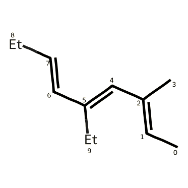 CC=C(C)C=C(C=CCC)CC